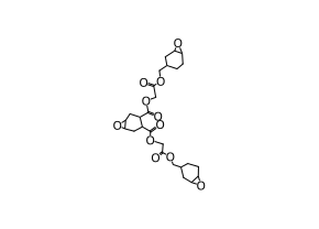 O=C(COC(=O)C1CC2OC2CC1C(=O)OCC(=O)OCC1CCC2OC2C1)OCC1CCC2OC2C1